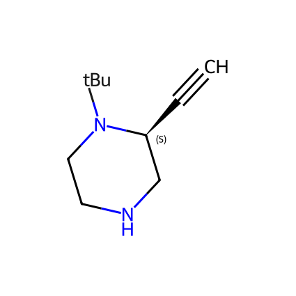 C#C[C@H]1CNCCN1C(C)(C)C